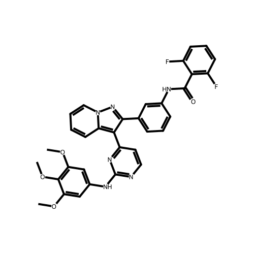 COc1cc(Nc2nccc(-c3c(-c4cccc(NC(=O)c5c(F)cccc5F)c4)nn4ccccc34)n2)cc(OC)c1OC